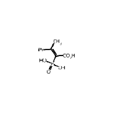 CC(=C(C(=O)O)P(=O)(O)O)C(C)C